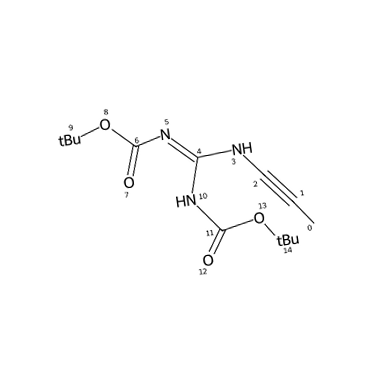 CC#CNC(=NC(=O)OC(C)(C)C)NC(=O)OC(C)(C)C